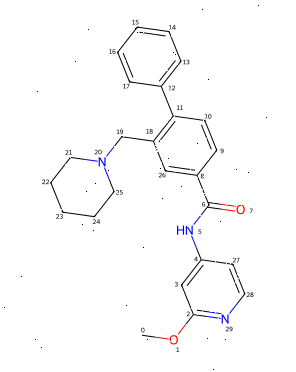 COc1cc(NC(=O)c2ccc(-c3ccccc3)c(CN3CCCCC3)c2)ccn1